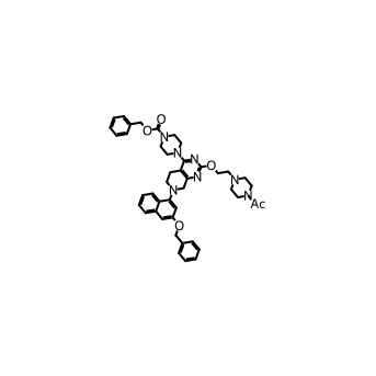 CC(=O)N1CCN(CCOc2nc3c(c(N4CCN(C(=O)OCc5ccccc5)CC4)n2)CCN(c2cc(OCc4ccccc4)cc4ccccc24)C3)CC1